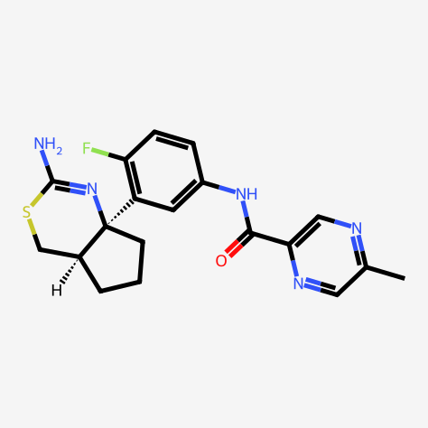 Cc1cnc(C(=O)Nc2ccc(F)c([C@]34CCC[C@H]3CSC(N)=N4)c2)cn1